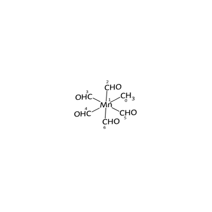 [CH3][Mn]([CH]=O)([CH]=O)([CH]=O)([CH]=O)[CH]=O